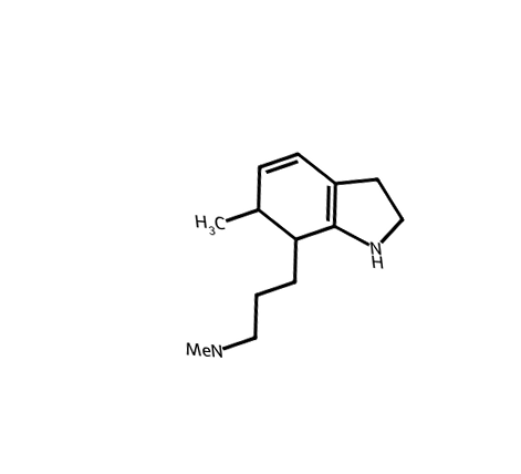 CNCCCC1C2=C(C=CC1C)CCN2